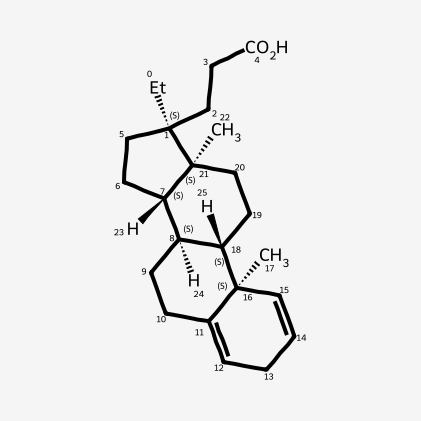 CC[C@@]1(CCC(=O)O)CC[C@H]2[C@@H]3CCC4=CCC=C[C@]4(C)[C@H]3CC[C@@]21C